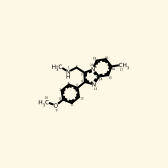 CNCc1c(-c2ccc(OC)cc2)nc2cc(C)ccn12